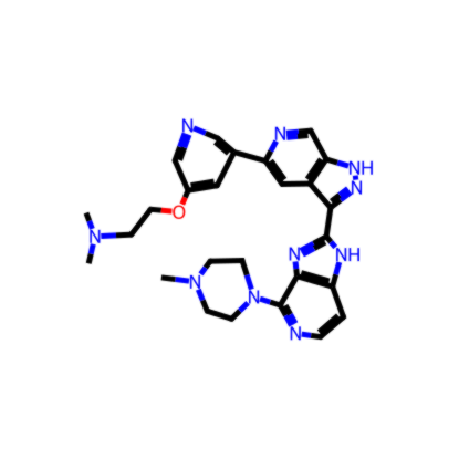 CN(C)CCOc1cncc(-c2cc3c(-c4nc5c(N6CCN(C)CC6)nccc5[nH]4)n[nH]c3cn2)c1